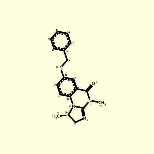 C[C@@H]1CN=C2N(C)C(=O)c3cc(SCc4ccccc4)ccc3N21